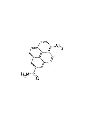 NC(=O)c1cc2ccc3ccc(N)c4ccc(c1)c2c34